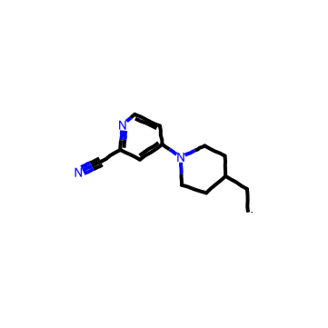 [CH2]CC1CCN(c2ccnc(C#N)c2)CC1